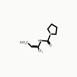 CCOC(=O)/C=C(\NC(=O)N1CCCC1)C(F)(F)F